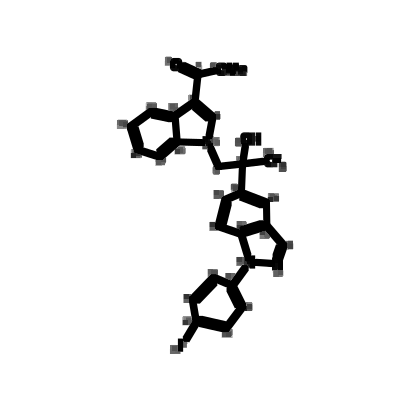 COC(=O)c1cn(CC(O)(c2ccc3c(cnn3-c3ccc(F)cc3)c2)C(F)(F)F)c2ccccc12